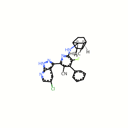 N#Cc1c(-c2n[nH]c3ncc(Cl)cc23)nc(N[C@@H]2C3CCC(CC3)[C@H]2C(=O)O)c(F)c1-c1ccccc1